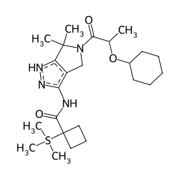 CC(OC1CCCCC1)C(=O)N1Cc2c(NC(=O)C3(S(C)(C)C)CCC3)n[nH]c2C1(C)C